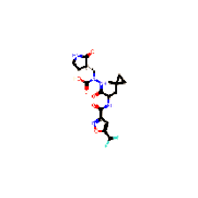 CC1(CC(NC(=O)c2cc(C(F)F)on2)C(=O)NN(C[C@@H]2CCNC2=O)C(=O)O)CC1